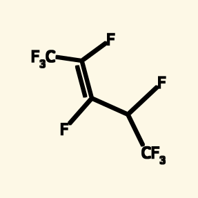 FC(=C(F)C(F)(F)F)C(F)C(F)(F)F